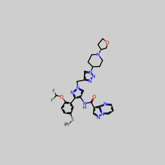 CC(C)Sc1ccc(OC(F)F)c(-c2nn(Cc3cn(C4CCN([C@H]5CCOC5)CC4)nn3)cc2NC(=O)c2cnn3cccnc23)c1